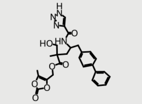 Cc1oc(=O)oc1COC(=O)C(C)(CO)CC(Cc1ccc(-c2ccccc2)cc1)NC(=O)c1c[nH]nn1